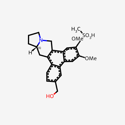 COc1cc2c3c(c4ccc(CO)cc4c2cc1OC)C[C@@H]1CCCN1C3.CS(=O)(=O)O